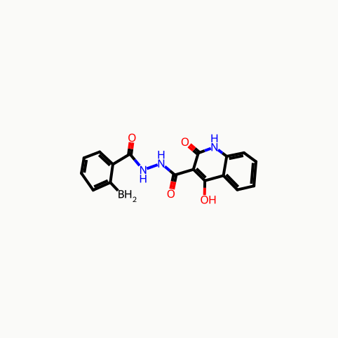 Bc1ccccc1C(=O)NNC(=O)c1c(O)c2ccccc2[nH]c1=O